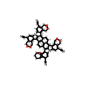 N#Cc1cc2c(c3c1C1CCC(CC1)C3)c1c3ccc4c5c(ccc(c35)c3c5c6c(c(C#N)cc5n2c13)C1CCC6CC1)c1c2c3c(c(C#N)cc2n2c5cc(C#N)c6c(c5c4c12)C1CCC6CC1)C1CCC3CC1